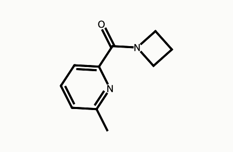 Cc1cccc(C(=O)N2CCC2)n1